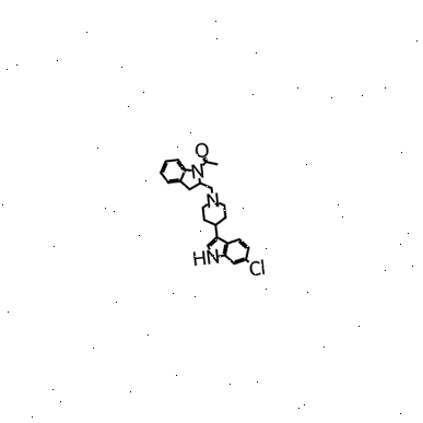 CC(=O)N1c2ccccc2CC1CN1CCC(c2c[nH]c3cc(Cl)ccc23)CC1